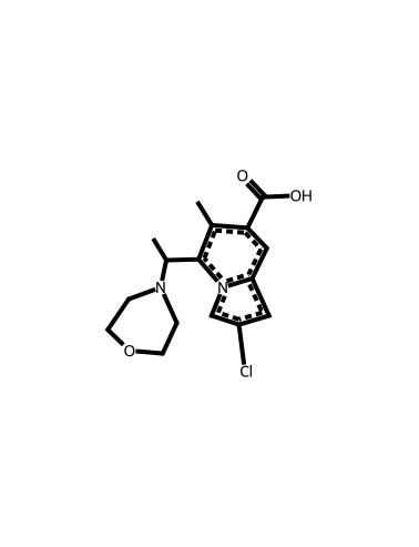 Cc1c(C(=O)O)cc2cc(Cl)cn2c1C(C)N1CCOCC1